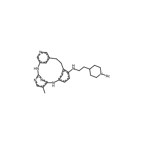 CC(=O)N1CCC(CCNc2ccc3cc2CCc2cncc(c2)Nc2ncc(C)c(n2)N3)CC1